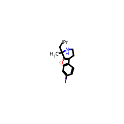 CC(C)CC1(C)NCCc2c1oc1cc(I)ccc21